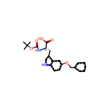 CC(C)(C)OC(=O)N[C@@H](Cc1c[nH]c2ccc(OCc3ccccc3)cc12)C(=O)O